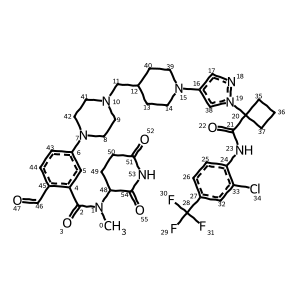 CN(C(=O)c1cc(N2CCN(CC3CCN(c4cnn(C5(C(=O)Nc6ccc(C(F)(F)F)cc6Cl)CCC5)c4)CC3)CC2)ccc1C=O)C1CCC(=O)NC1=O